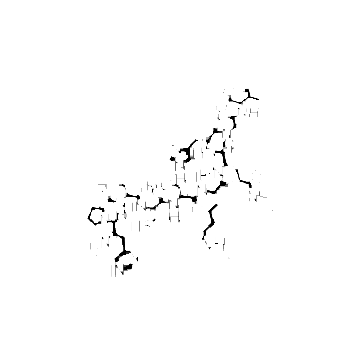 CC(C)[C@H](NC(=O)[C@H](C)NC(=O)[C@H](Cc1c[nH]cn1)NC(=O)[C@H](CCC(N)=O)NC(=O)[C@H](CCCCN)NC(=O)[C@H](CO)NC(=O)[C@H](CS)NC(=O)[C@H](CO)NC(=O)[C@@H]1CCCN1C(=O)[C@@H](N)Cc1c[nH]cn1)C(=O)O